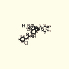 CN1CCN(Cn2cc3cc(NC(=O)Cc4ccccc4Cl)cc(S(N)(=O)=O)c3n2)CC1=O